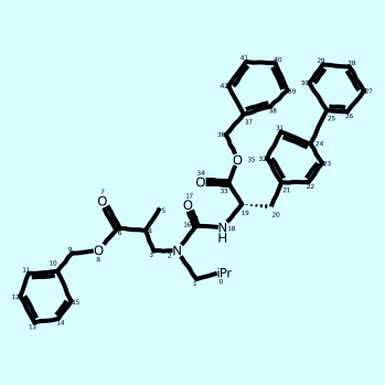 CC(C)CN(CC(C)C(=O)OCc1ccccc1)C(=O)N[C@@H](Cc1ccc(-c2ccccc2)cc1)C(=O)OCc1ccccc1